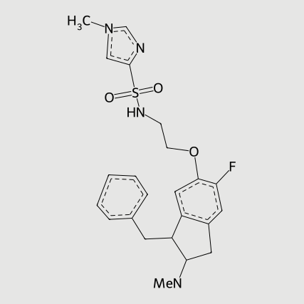 CNC1Cc2cc(F)c(OCCNS(=O)(=O)c3cn(C)cn3)cc2C1Cc1ccccc1